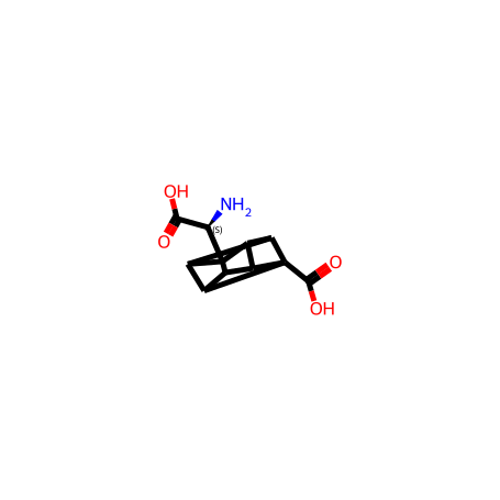 N[C@H](C(=O)O)C12C3C4C1C1C2C3C41C(=O)O